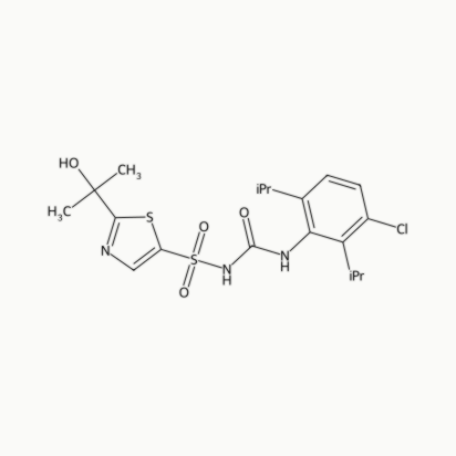 CC(C)c1ccc(Cl)c(C(C)C)c1NC(=O)NS(=O)(=O)c1cnc(C(C)(C)O)s1